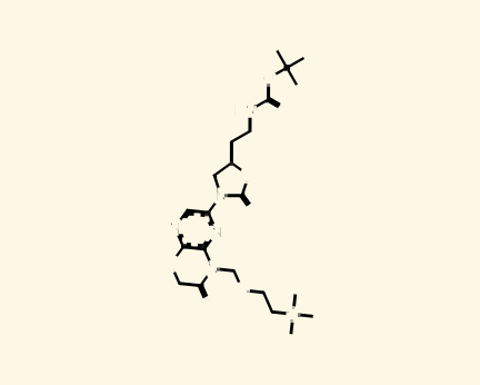 CC(C)(C)OC(=O)NCCC1CN(c2cnc3c(n2)N(COCC[Si](C)(C)C)C(=O)CO3)C(=O)O1